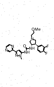 COCCN1C[C@@H](NC(=O)Nc2cc(-c3cnccn3)nn2C)[C@H](c2ccc(F)c(F)c2)C1